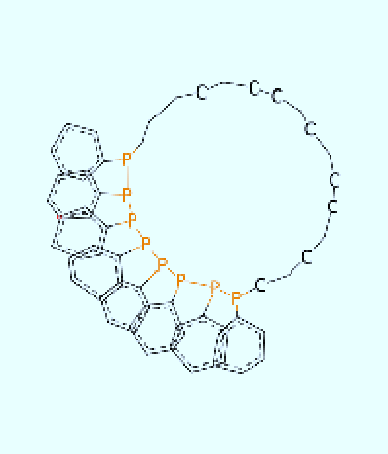 c1ccc(P2CCCCCCCCCCCCCCCCP(c3ccccc3)P(c3ccccc3)P(c3ccccc3)P(c3ccccc3)P(c3ccccc3)P(c3ccccc3)P2c2ccccc2)cc1